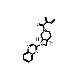 C=CC(=C)C(=O)N1CC[C@H]2CN(c3cnc4ccccc4n3)[C@H]2C1